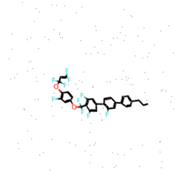 CCCc1ccc(-c2ccc(-c3cc(F)c(C(F)(F)Oc4ccc(OC(F)(F)C=C(F)F)c(F)c4)c(F)c3)c(F)c2)cc1